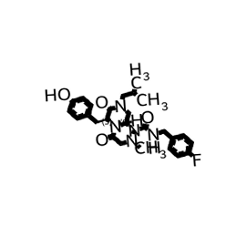 CC(C)CN1C[C@H]2N(C(=O)CN(C)N2C(=O)NCc2ccc(F)cc2)[C@@H](Cc2ccc(O)cc2)C1=O